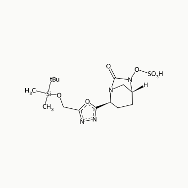 CC(C)(C)[Si](C)(C)OCc1nnc([C@@H]2CC[C@@H]3CN2C(=O)N3OS(=O)(=O)O)o1